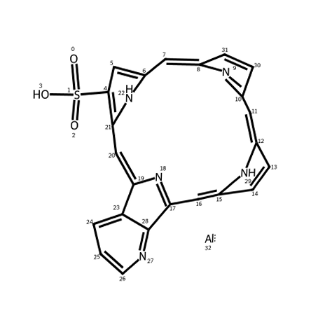 O=S(=O)(O)c1cc2cc3nc(cc4ccc(cc5nc(cc1[nH]2)-c1cccnc1-5)[nH]4)C=C3.[Al]